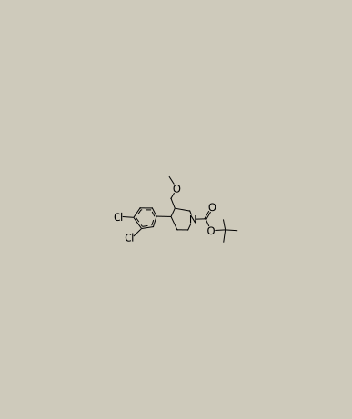 COCC1CN(C(=O)OC(C)(C)C)CCC1c1ccc(Cl)c(Cl)c1